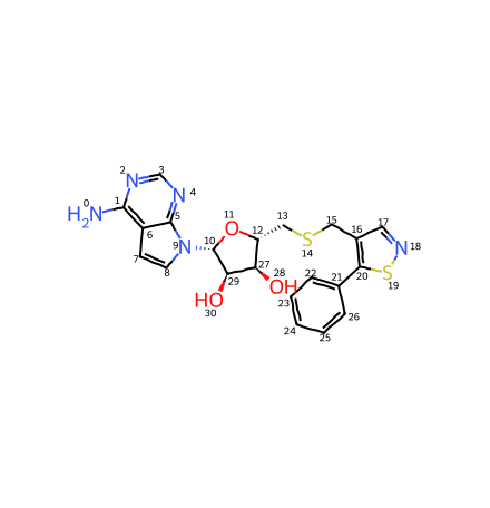 Nc1ncnc2c1ccn2[C@@H]1O[C@H](CSCc2cnsc2-c2ccccc2)[C@@H](O)[C@H]1O